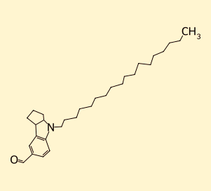 CCCCCCCCCCCCCCCCCCN1c2ccc(C=O)cc2C2CCCC21